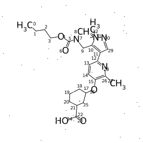 CCCCOC(=O)N(C)Cc1c(-c2ccc(OC3CCCC(C(=O)O)C3)c(C)n2)cnn1C